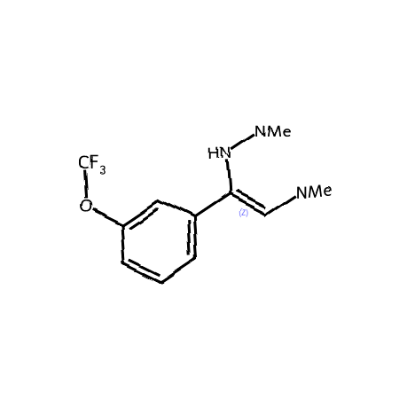 CN/C=C(\NNC)c1cccc(OC(F)(F)F)c1